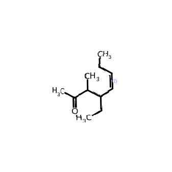 CC/C=C\C(CC)C(C)C(C)=O